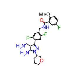 COc1ccc(F)cc1C(=O)NCc1cc(F)c(-c2nn(C3CCCOC3)c(N)c2CN)cc1F